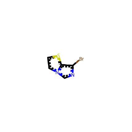 Brc1ncn2ccsc12